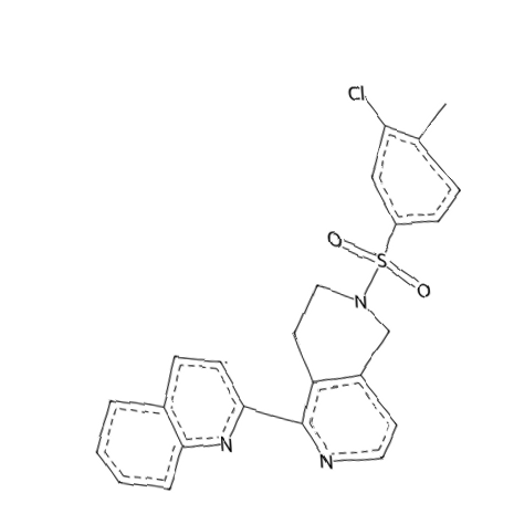 Cc1ccc(S(=O)(=O)N2CCc3c(ccnc3-c3[c]cc4ccccc4n3)C2)cc1Cl